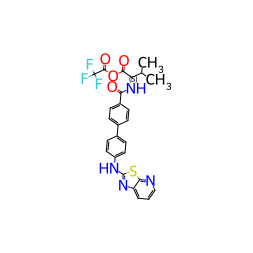 CC(C)[C@H](NC(=O)c1ccc(-c2ccc(Nc3nc4cccnc4s3)cc2)cc1)C(=O)OC(=O)C(F)(F)F